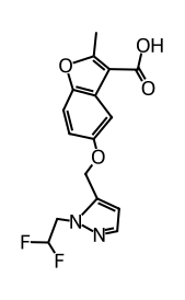 Cc1oc2ccc(OCc3ccnn3CC(F)F)cc2c1C(=O)O